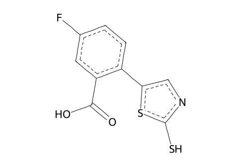 O=C(O)c1cc(F)ccc1-c1cnc(S)s1